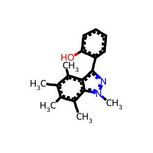 Cc1c(C)c(C)c2c(c(-c3ccccc3O)nn2C)c1C